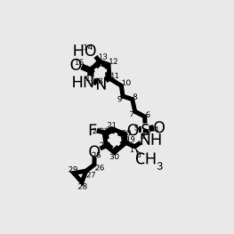 C[C@@H](NS(=O)(=O)CCCCCc1cc(O)c(=O)[nH]n1)c1ccc(F)c(OCC2CC2)c1